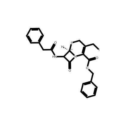 O=C(Cc1ccccc1)NC1C(=O)N2C(C(=O)OCc3ccccc3)=C(CI)CS[C@H]12